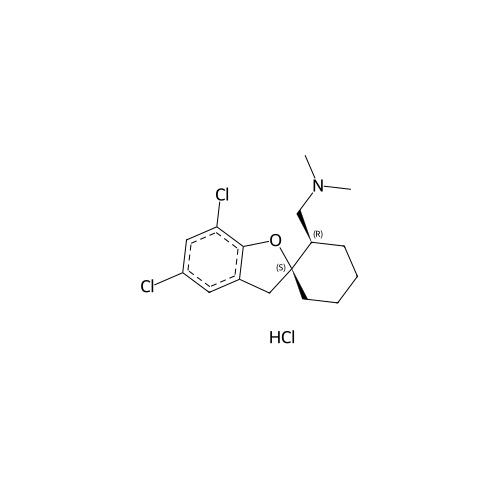 CN(C)C[C@H]1CCCC[C@]12Cc1cc(Cl)cc(Cl)c1O2.Cl